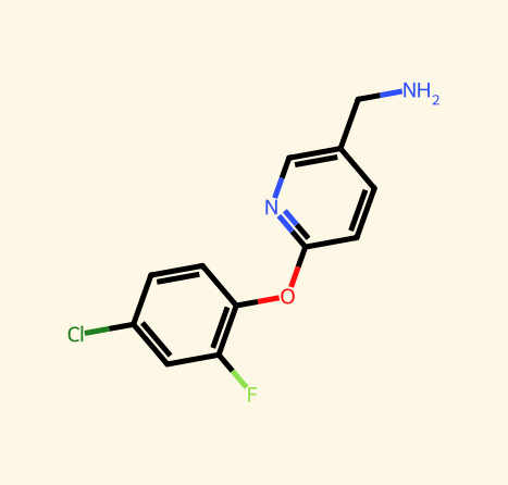 NCc1ccc(Oc2ccc(Cl)cc2F)nc1